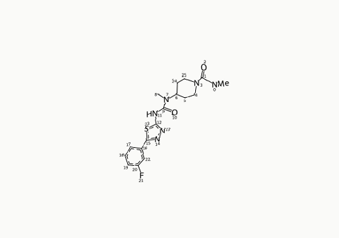 CNC(=O)N1CCC(N(C)C(=O)Nc2nnc(-c3cccc(F)c3)s2)CC1